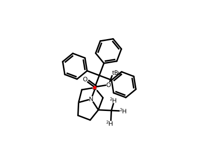 [2H]C([2H])([2H])C12CCC(CN(C(c3ccccc3)(c3ccccc3)c3ccccc3)C1)N2C(=O)OC(C)(C)C